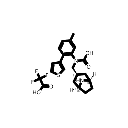 Cc1ccc(-c2ccsc2)c(N(C[C@H]2C[C@H]3CC[C@@H](C2)N3)C(=O)O)c1.O=C(O)C(F)(F)F